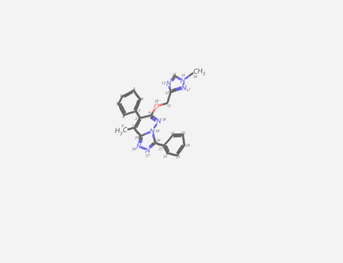 Cc1c(-c2ccccc2)c(OCc2ncn(C)n2)nn2c(-c3ccccc3)nnc12